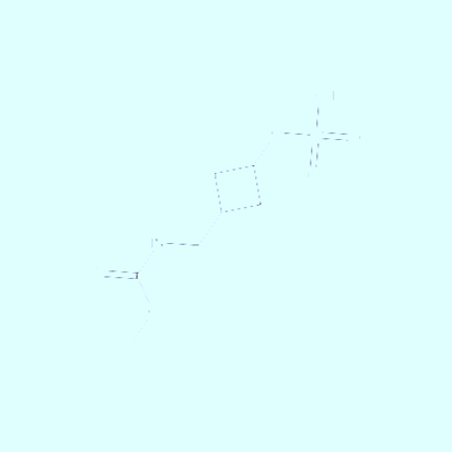 CC(C)(C)OC(=O)NCC1CC(OS(C)(=O)=O)C1